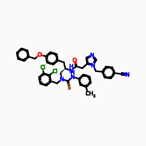 Cc1cccc(NC(=S)N(Cc2cccc(Cl)c2Cl)C[C@H](Cc2ccc(OCc3ccccc3)cc2)NC(=O)Cc2cncn2Cc2ccc(C#N)cc2)c1